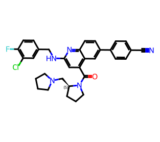 N#Cc1ccc(-c2ccc3nc(NCc4ccc(F)c(Cl)c4)cc(C(=O)N4CCC[C@H]4CN4CCCC4)c3c2)cc1